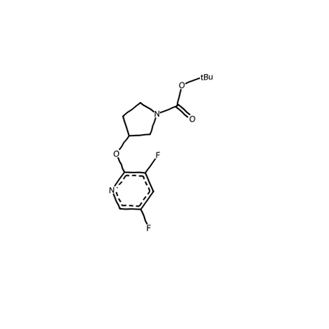 CC(C)(C)OC(=O)N1CCC(Oc2ncc(F)cc2F)C1